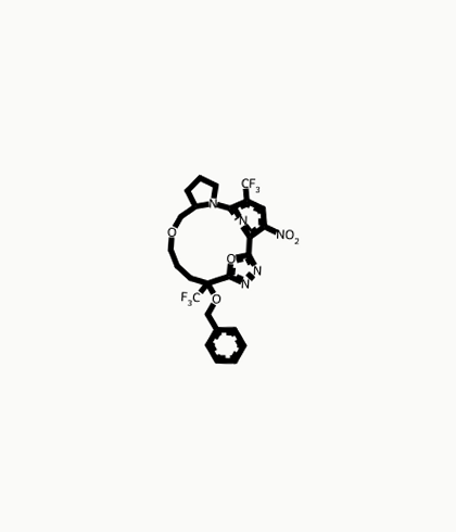 O=[N+]([O-])c1cc(C(F)(F)F)c2nc1-c1nnc(o1)C(OCc1ccccc1)(C(F)(F)F)CCCOCC1CCCN21